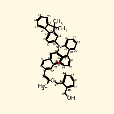 CC(=Cc1ccc2cc(N(c3ccc4c(c3)C(C)(C)c3ccccc3-4)c3ccccc3-c3ccccc3)ccc2c1)OCc1ccccc1CO